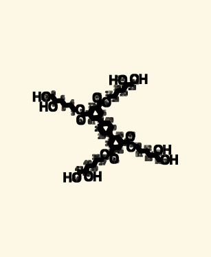 O=C(OCCCCC(O)CO)c1cc(C(=O)OCCCCC(O)CO)cc(-c2ccc(-c3cc(C(=O)OCCCCC(O)CO)cc(C(=O)OCCCCC(O)CO)c3)cc2)c1